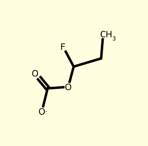 CCC(F)OC([O])=O